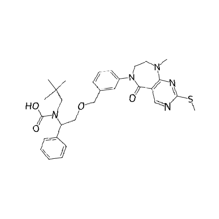 CSc1ncc2c(n1)N(C)CCN(c1cccc(COCC(c3ccccc3)N(CC(C)(C)C)C(=O)O)c1)C2=O